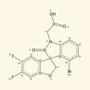 O=C(O)CN1C(=O)C2(COc3cc(F)c(F)cc32)c2c(Br)cccc21